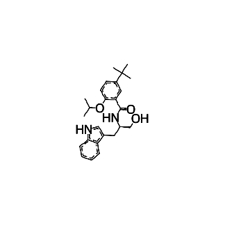 CC(C)Oc1ccc(C(C)(C)C)cc1C(=O)N[C@@H](CO)Cc1c[nH]c2ccccc12